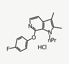 CCCn1c(C)c(C)c2ccnc(Oc3ccc(F)cc3)c21.Cl